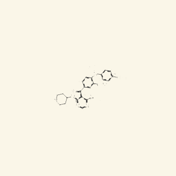 COc1cc(-c2nn(C3CCNCC3)c3ncnc(N)c23)ccc1N(C(C)=O)c1ccc(C(C)(C)C)cc1